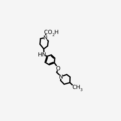 CC1CCN(COc2ccc(NC3CCN(C(=O)O)CC3)cc2)CC1